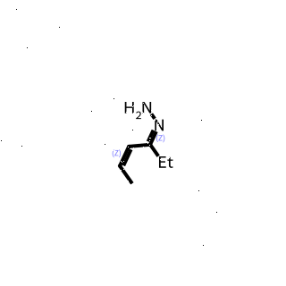 C/C=C\C(CC)=N/N